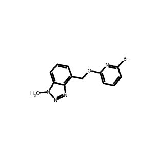 Cn1nnc2c(COc3cccc(Br)n3)cccc21